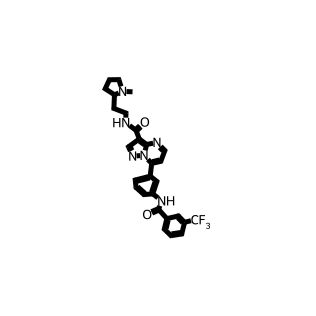 CN1CCCC1CCNC(=O)c1cnn2c(-c3cccc(NC(=O)c4cccc(C(F)(F)F)c4)c3)ccnc12